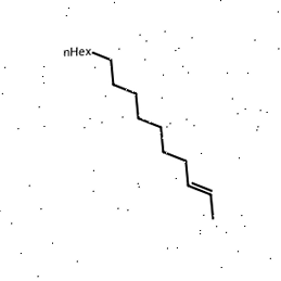 [CH2]CCCCCCCCCCCCC=CC